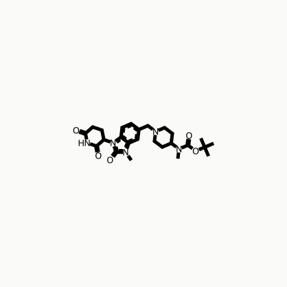 CN(C(=O)OC(C)(C)C)C1CCN(Cc2ccc3c(c2)n(C)c(=O)n3C2CCC(=O)NC2=O)CC1